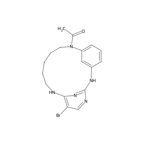 CC(=O)N1CCCCCNc2nc(ncc2Br)Nc2cccc1c2